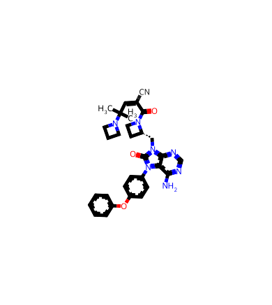 CC(C)(/C=C(/C#N)C(=O)N1CC[C@H]1Cn1c(=O)n(-c2ccc(Oc3ccccc3)cc2)c2c(N)ncnc21)N1CCC1